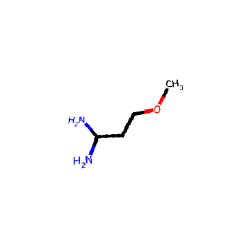 COCCC(N)N